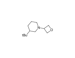 CC(C)(C)C1CCCN(C2COC2)C1